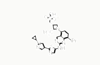 CC(C)c1ccc(N2C[C@H](CS(C)(=O)=O)[C@H]2C)c2cnc(Nc3cnc(-c4cnn(C5CC5)c4)s3)nc12